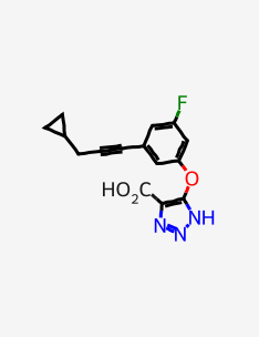 O=C(O)c1nn[nH]c1Oc1cc(F)cc(C#CCC2CC2)c1